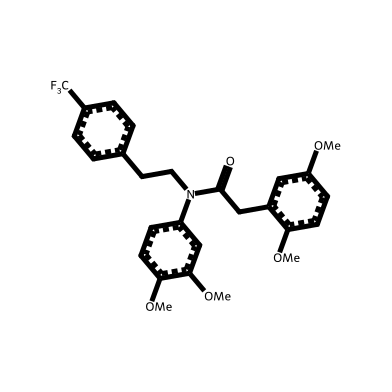 COc1ccc(OC)c(CC(=O)N(CCc2ccc(C(F)(F)F)cc2)c2ccc(OC)c(OC)c2)c1